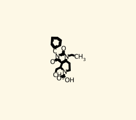 CCC1c2c(n(CC)c(=O)n(Cc3ccccc3)c2=O)CCN1C(=O)O